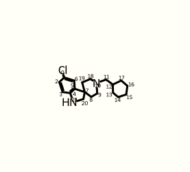 Clc1ccc2c(c1)C1(CCN(CC3CCCCC3)CC1)CN2